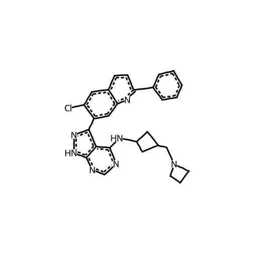 Clc1cc2ccc(-c3ccccc3)nc2cc1-c1n[nH]c2ncnc(NC3CC(CN4CCC4)C3)c12